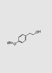 CC(C)(C)Oc1ccc(CCO)cc1